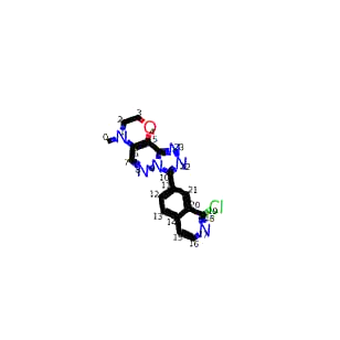 CN1CCOc2c1cnn1c(-c3ccc4ccnc(Cl)c4c3)nnc21